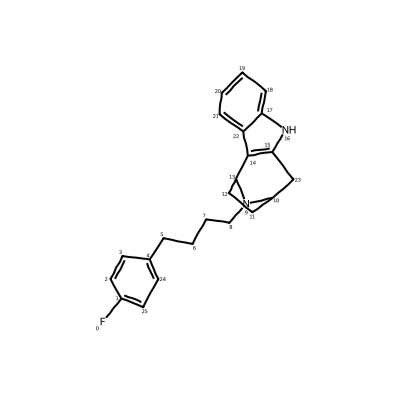 Fc1ccc(CCCCN2C3CCC2c2c([nH]c4ccccc24)C3)cc1